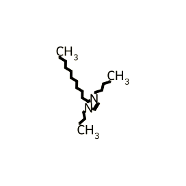 CCCCCCCCCCC1N(CCCC)C=CN1CCCCC